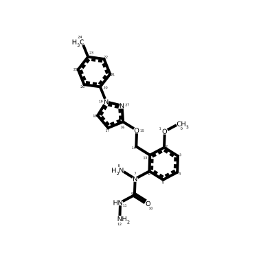 COc1cccc(N(N)C(=O)NN)c1COc1ccn(-c2ccc(C)cc2)n1